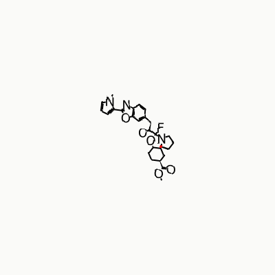 COC(=O)[C@H]1CC[C@H](OC(F)(C(=O)Cc2ccc3nc(-c4cccn4C)oc3c2)N2CCCC2)CC1